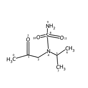 CC(=O)CN(C(C)C)S(N)(=O)=O